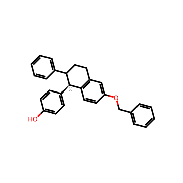 Oc1ccc([C@@H]2c3ccc(OCc4ccccc4)cc3CCC2c2ccccc2)cc1